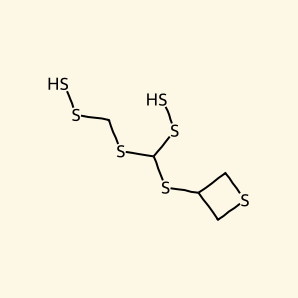 SSCSC(SS)SC1CSC1